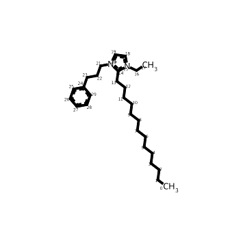 CCCCCCCCCCCCCCc1n(CC)cc[n+]1CCCc1ccccc1